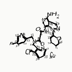 Nc1ncc(NC(=O)C(=O)N(Cc2ccc(F)cn2)Cc2ncccc2Cl)c2c1cnn2C1CCCCO1.[Cu]